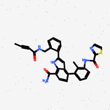 CC#CC(=O)NCc1ccccc1-c1cc2c(-c3cccc(NC(=O)c4nccs4)c3C)ccc(C(N)=O)c2[nH]1